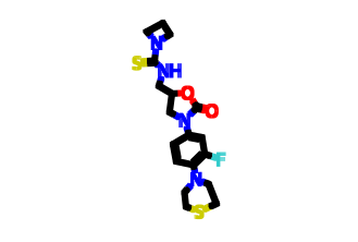 O=C1OC(CNC(=S)N2CCC2)CN1c1ccc(N2CCSCC2)c(F)c1